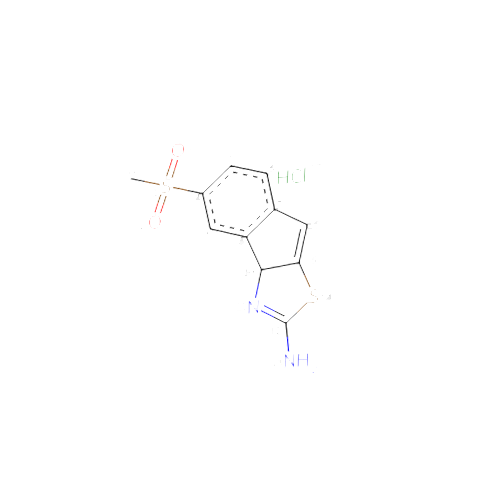 CS(=O)(=O)c1ccc2c(c1)C1N=C(N)SC1=C2.Cl